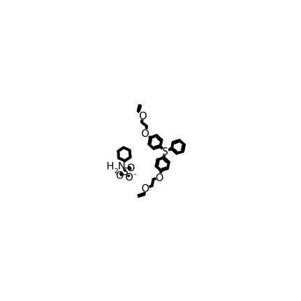 C1CCCCC1.C=COCCOc1ccc([S+](c2ccccc2)c2ccc(OCCOC=C)cc2)cc1.NS(=O)(=O)[O-]